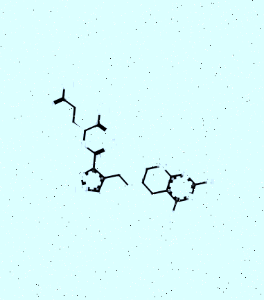 Nc1nc(O)c2c(n1)NC[C@@H](CCc1c[nH]nc1C(=O)N[C@@H](CCC(=O)O)C(=O)O)C2